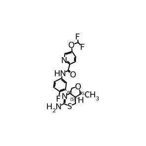 C[C@H]1OC[C@]2(c3cc(NC(=O)c4ccc(OC(F)F)cn4)ccc3F)N=C(N)SC[C@H]12